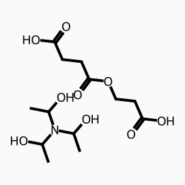 CC(O)N(C(C)O)C(C)O.O=C(O)CCOC(=O)CCC(=O)O